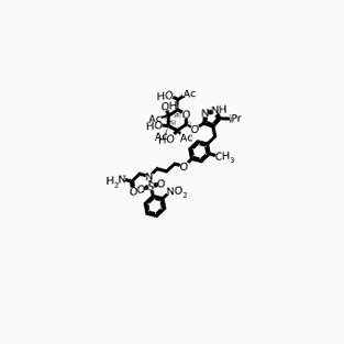 CC(=O)C(O)[C@H]1O[C@@H](Oc2n[nH]c(C(C)C)c2Cc2ccc(OCCCN(CC(N)=O)S(=O)(=O)c3ccccc3[N+](=O)[O-])cc2C)[C@@](O)(C(C)=O)[C@](O)(C(C)=O)[C@@]1(O)C(C)=O